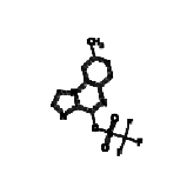 Cc1ccc2nc(OS(=O)(=O)C(F)(F)F)c3nccn3c2c1